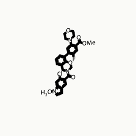 COC(=O)c1cc(F)c(-c2cccc3c2OCN(C(=O)c2cc4ccn(C)c4cc2Cl)C3)cc1N1CCOCC1